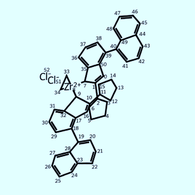 C1=C(C2CCCC2)[CH]([Zr+2]2([CH]3C(C4CCCC4)=Cc4c(-c5cccc6ccccc56)cccc43)[CH2][CH2]2)c2cccc(-c3cccc4ccccc34)c21.[Cl-].[Cl-]